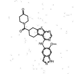 COc1cc2[nH]ncc2cc1Nc1ncnc2sc3c(c12)CCC(C(=O)N1CCC(=O)CC1)C3